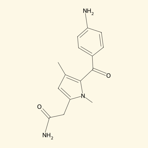 Cc1cc(CC(N)=O)n(C)c1C(=O)c1ccc(N)cc1